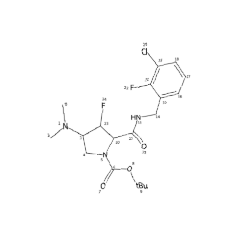 CN(C)C1CN(C(=O)OC(C)(C)C)C(C(=O)NCc2cccc(Cl)c2F)C1F